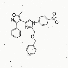 Cc1onc(-c2ccccc2)c1-c1cn(-c2ccc([N+](=O)[O-])cc2)c(COCc2ccncc2)n1